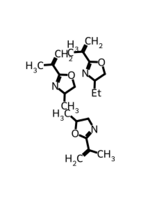 C=C(C)C1=NC(C)CO1.C=C(C)C1=NC(CC)CO1.C=C(C)C1=NCC(C)O1